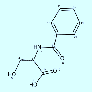 O=C(N[C@@H](CO)C(=O)O)c1ccccc1